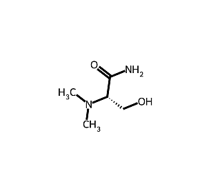 CN(C)[C@@H](CO)C(N)=O